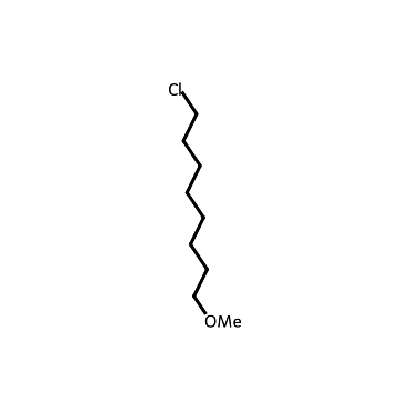 COCCCCCCCCCl